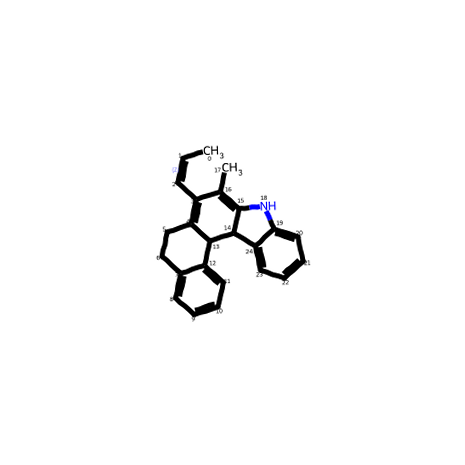 C/C=C\C1=C2CCc3ccccc3C2C2C(=C1C)Nc1ccccc12